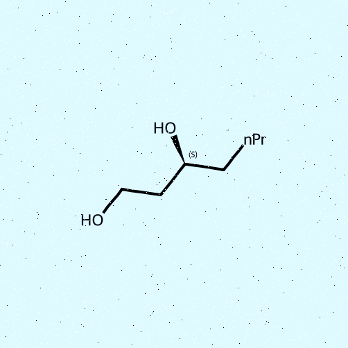 CCCC[C@H](O)CCO